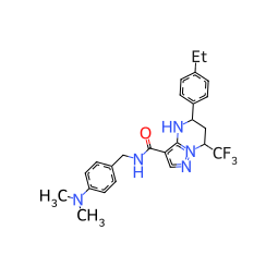 CCc1ccc(C2CC(C(F)(F)F)n3ncc(C(=O)NCc4ccc(N(C)C)cc4)c3N2)cc1